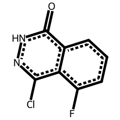 O=c1[nH]nc(Cl)c2c(F)cccc12